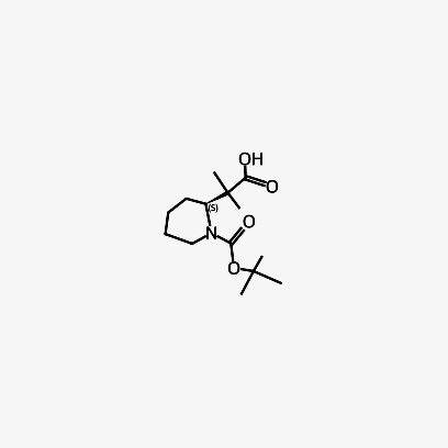 CC(C)(C)OC(=O)N1CCCC[C@H]1C(C)(C)C(=O)O